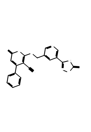 C=C1NC(c2cncc(CSc3[nH]c(=O)cc(-c4ccccc4)c3C#N)c2)=NO1